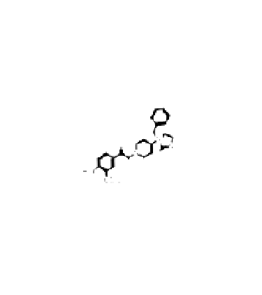 O=C(CN1CCC([N+]2(Cc3ccccc3)CCNC2=O)CC1)c1ccc(O)c(C(=O)O)c1